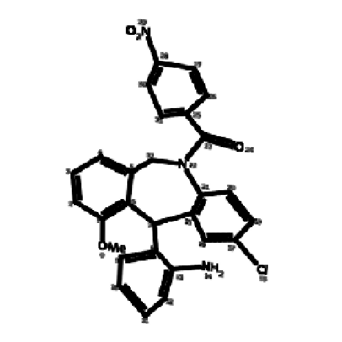 COc1cccc2c1C(c1ccccc1N)c1cc(Cl)ccc1N(C(=O)c1ccc([N+](=O)[O-])cc1)C2